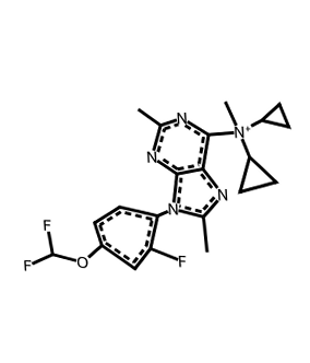 Cc1nc([N+](C)(C2CC2)C2CC2)c2nc(C)n(-c3ccc(OC(F)F)cc3F)c2n1